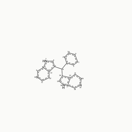 c1ccc(C(c2c[nH]c3cnccc23)c2c[nH]c3cnccc23)cc1